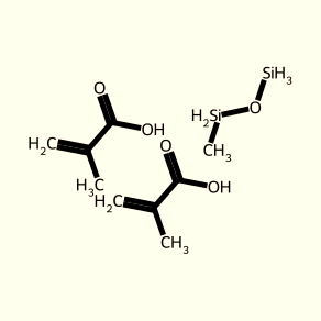 C=C(C)C(=O)O.C=C(C)C(=O)O.C[SiH2]O[SiH3]